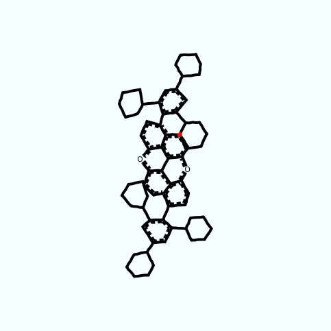 c1c(C2CCCCC2)cc(C2CCCCC2)c(-c2ccc3oc4ccc5c(-c6c(C7CCCCC7)cc(C7CCCCC7)cc6C6CCCCC6)ccc6oc7ccc2c3c7-c4c65)c1C1CCCCC1